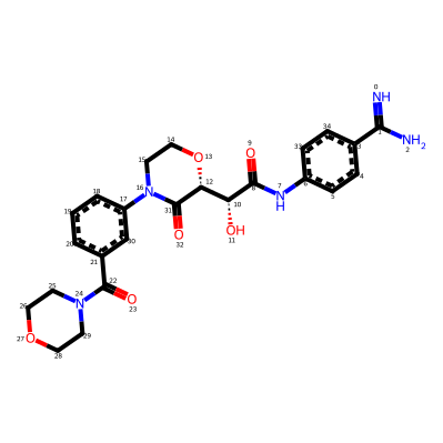 N=C(N)c1ccc(NC(=O)[C@H](O)[C@H]2OCCN(c3cccc(C(=O)N4CCOCC4)c3)C2=O)cc1